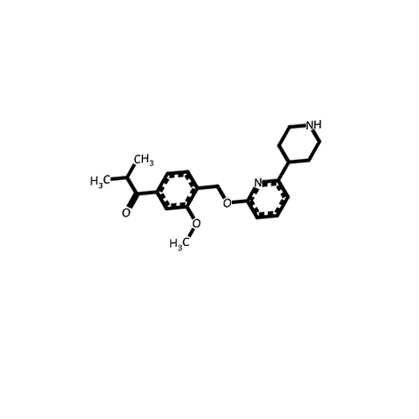 COc1cc(C(=O)C(C)C)ccc1COc1cccc(C2CCNCC2)n1